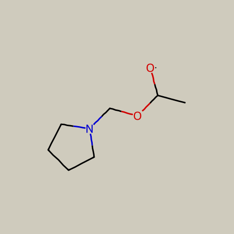 CC([O])OCN1CCCC1